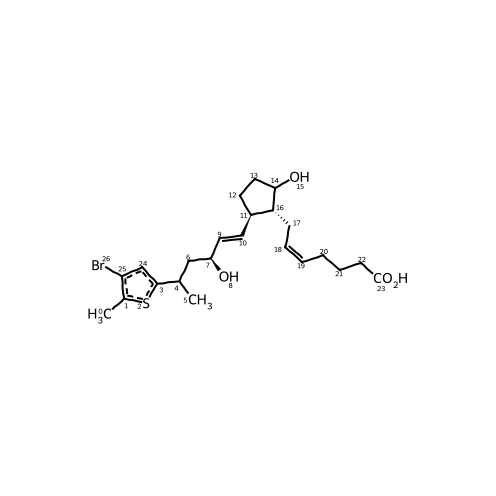 Cc1sc(C(C)C[C@H](O)/C=C/[C@H]2CCC(O)[C@@H]2C/C=C\CCCC(=O)O)cc1Br